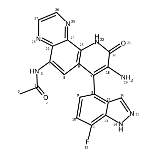 CC(=O)Nc1cc2c(-c3ccc(F)c4[nH]ncc34)c(N)c(=O)[nH]c2c2nccnc12